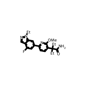 CCn1ncc2c(F)cc(-c3ccc(C(CC)(CC)C(N)=O)c(OC)n3)cc21